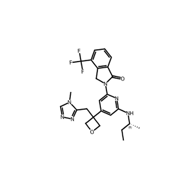 CC[C@@H](C)Nc1cc(C2(Cc3nncn3C)COC2)cc(N2Cc3c(cccc3C(F)(F)F)C2=O)n1